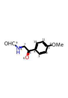 COc1ccc(C(=O)CNC=O)cc1